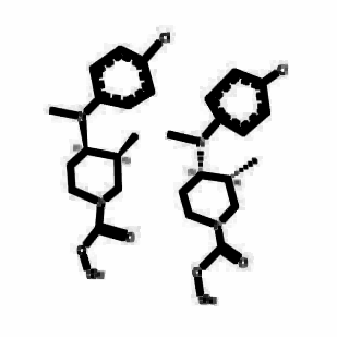 C[C@@H]1CN(C(=O)OC(C)(C)C)CC[C@@H]1N(C)c1ccc(Cl)cc1.C[C@H]1CN(C(=O)OC(C)(C)C)CC[C@H]1N(C)c1ccc(Cl)cc1